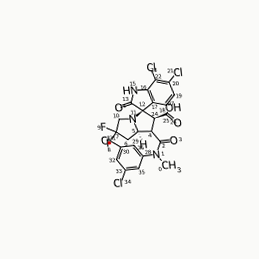 CN(C(=O)C1[C@H]2CC(F)(F)CN2[C@]2(C(=O)Nc3c2ccc(Cl)c3Cl)[C@H]1C(=O)O)c1cc(Cl)cc(Cl)c1